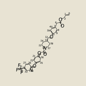 C=CCOC(=O)Cc1ccc(OCC2CCN(C(=O)Oc3ccc(Oc4ccc(C(F)(F)F)cn4)cc3)CC2)cc1